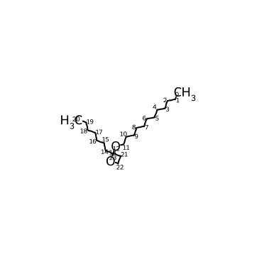 CCCCCCCCCCCCOC1(CCCCCCC)CCO1